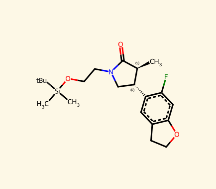 C[C@@H]1C(=O)N(CCO[Si](C)(C)C(C)(C)C)C[C@H]1c1cc2c(cc1F)OCC2